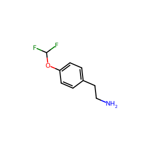 NCCc1ccc(OC(F)F)cc1